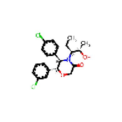 CC[C@@H]([C@H](C)O)N1C(=O)CO[C@H](c2cccc(Cl)c2)[C@H]1c1ccc(Cl)cc1